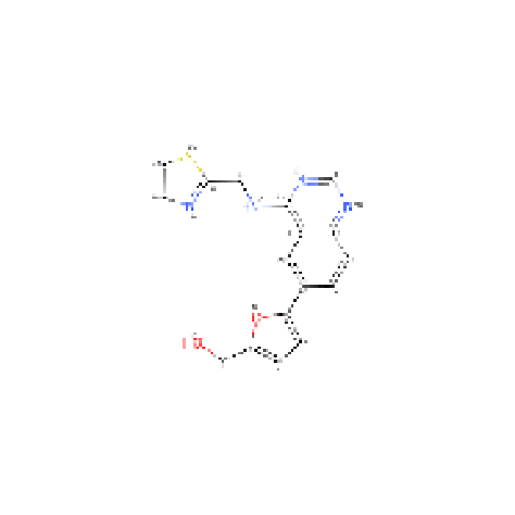 OCc1ccc(-c2ccc3ncnc(NCc4nccs4)c3c2)o1